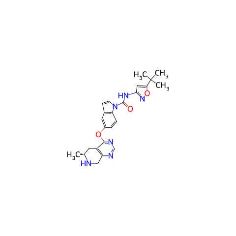 C[C@H]1Cc2c(ncnc2Oc2ccc3c(ccn3C(=O)Nc3cc(C(C)(C)C)on3)c2)CN1